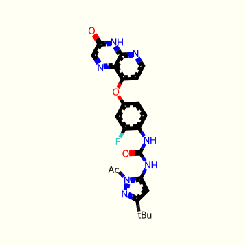 CC(=O)n1nc(C(C)(C)C)cc1NC(=O)Nc1ccc(Oc2ccnc3[nH]c(=O)cnc23)cc1F